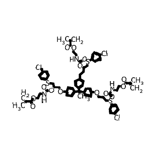 C=C(C)C(=O)OCCNC(=O)OC(CCc1ccc(C(C)(c2ccc(OCC(CSc3ccc(Cl)cc3)OC(=O)NCCOC(=O)C(=C)C)cc2)c2ccc(OCC(CSc3ccc(Cl)cc3)OC(=O)NCCOC(=O)C(=C)C)cc2)cc1)CSc1ccc(Cl)cc1